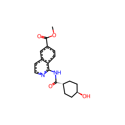 COC(=O)c1ccc2c(NC(=O)[C@H]3CC[C@H](O)CC3)nccc2c1